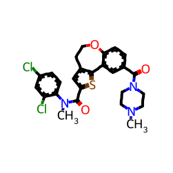 CN1CCN(C(=O)c2ccc3c(c2)-c2sc(C(=O)N(C)c4ccc(Cl)cc4Cl)cc2CCO3)CC1